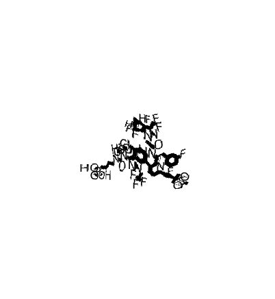 CC(C)(C#Cc1ccc(-c2ccc(Cl)c3c(N(C(=O)NCCCCP(=O)(O)O)S(C)(=O)=O)nn(CC(F)(F)F)c23)c([C@H](Cc2cc(F)cc(F)c2)NC(=O)Cn2nc(C(F)(F)F)c3c2C(F)(F)[C@@H]2C[C@H]32)n1)S(C)(=O)=O